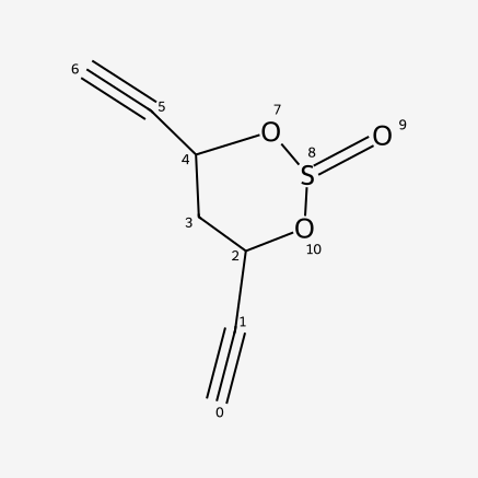 C#CC1CC(C#C)OS(=O)O1